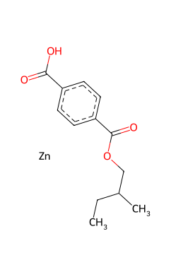 CCC(C)COC(=O)c1ccc(C(=O)O)cc1.[Zn]